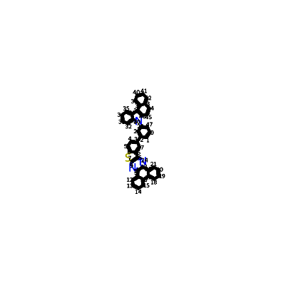 c1cc(-c2ccc3sc4nc5c6ccccc6c6ccccc6c5nc4c3c2)cc(-n2c3ccccc3c3c4ccccc4ccc32)c1